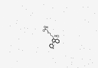 Cl.O=C(O)CSCCCc1cn(-c2cccnc2)c2ccccc12